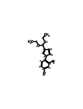 CCOC(OCC)c1cn(-c2ccc(Cl)cc2Br)nn1